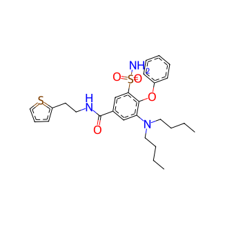 CCCCN(CCCC)c1cc(C(=O)NCCc2cccs2)cc(S(N)(=O)=O)c1Oc1ccccc1